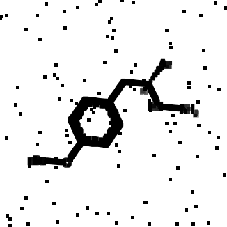 CCCCOc1ccc(C[C@@H](NN)C(C)=O)cc1